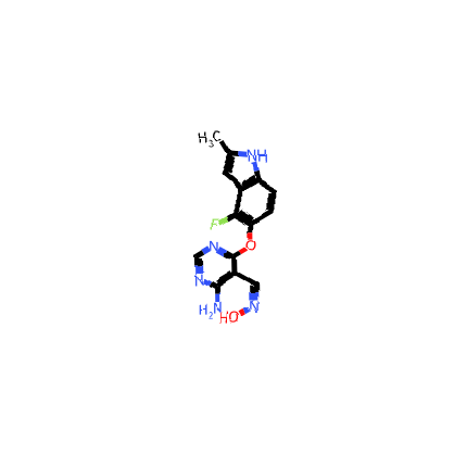 Cc1cc2c(F)c(Oc3ncnc(N)c3/C=N\O)ccc2[nH]1